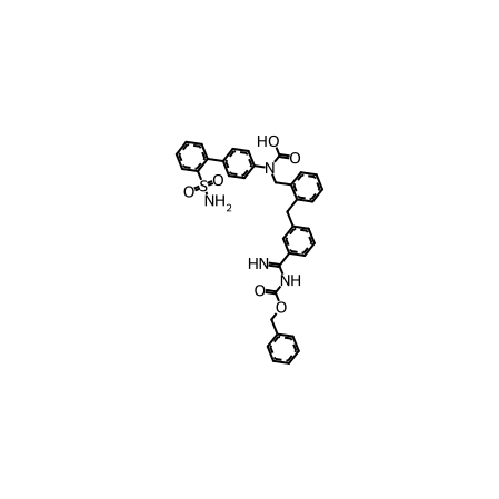 N=C(NC(=O)OCc1ccccc1)c1cccc(Cc2ccccc2CN(C(=O)O)c2ccc(-c3ccccc3S(N)(=O)=O)cc2)c1